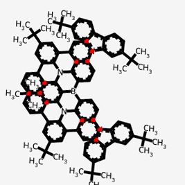 CC(C)(C)c1cc(-c2ccccc2)c(N2c3cc(-n4c5ccc(C(C)(C)C)cc5c5cc(C(C)(C)C)ccc54)ccc3B3c4ccc(-n5c6cc(C(C)(C)C)ccc6c6ccc(C(C)(C)C)cc65)cc4N(c4c(-c5ccccc5)cc(C(C)(C)C)cc4-c4ccccc4)c4cc(C(C)(C)C)cc2c43)c(-c2ccccc2)c1